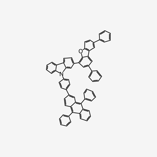 c1ccc(-c2ccc3oc4c(-c5ccc6c7ccccc7n(-c7ccc(-c8ccc9c(-c%10ccccc%10)c%10ccccc%10c(-c%10ccccc%10)c9c8)cc7)c6c5)cc(-c5ccccc5)cc4c3c2)cc1